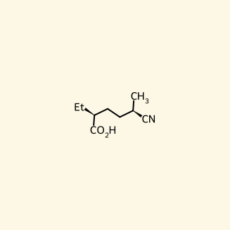 CC[C@@H](CC[C@@H](C)C#N)C(=O)O